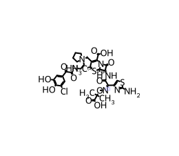 C[C@@H]1S[C@@H]2[C@H](NC(=O)/C(=N\OC(C)(C)C(=O)O)c3csc(N)n3)C(=O)N2C(C(=O)O)=C1C[N+]1(CCNC(=O)C(=O)c2cc(O)c(O)c(Cl)c2)CCCC1